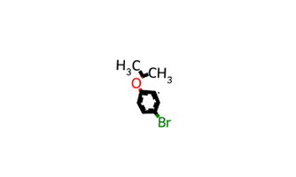 CC(C)Oc1[c]cc(Br)cc1